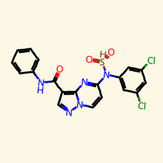 O=C(Nc1ccccc1)c1cnn2ccc(N(c3cc(Cl)cc(Cl)c3)[SH](=O)=O)nc12